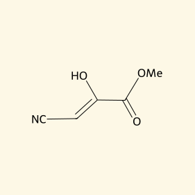 COC(=O)/C(O)=C/C#N